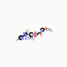 CO[C@@H]1CCN(C(=O)CCS(=O)(=O)N2CC[C@@H](c3[nH]c(-c4ccc(F)cn4)nc3Cl)[C@@H](C)C2)C1